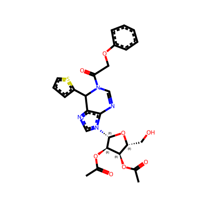 CC(=O)O[C@@H]1[C@H](OC(C)=O)[C@@H](CO)O[C@H]1n1cnc2c1N=CN(C(=O)COc1ccccc1)C2c1cccs1